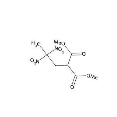 COC(=O)C(CC(C)([N+](=O)[O-])[N+](=O)[O-])C(=O)OC